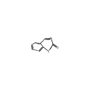 O=c1ncc2ccccc2s1